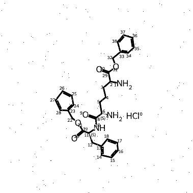 Cl.NC(CCC[C@H](N)C(=O)N[C@@H](Cc1ccccc1)C(=O)OCc1ccccc1)C(=O)OCc1ccccc1